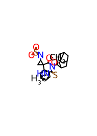 CNC(=S)N(C(=O)C1(c2ccccc2)CC1N=S(=O)=O)C1C2CC3CC(C2)C(OC)C1C3